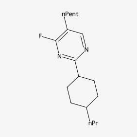 CCCCCc1cnc(C2CCC(CCC)CC2)nc1F